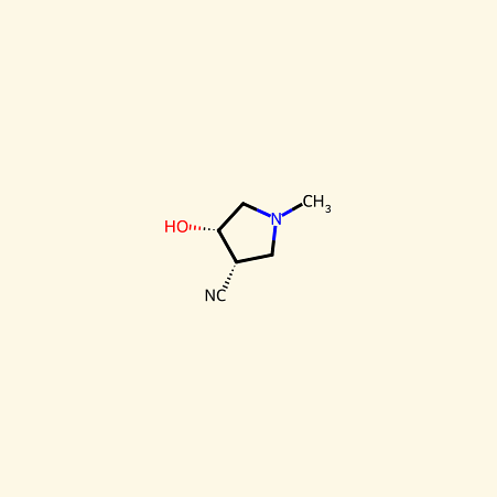 CN1C[C@@H](O)[C@@H](C#N)C1